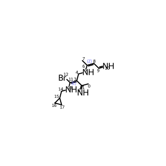 CC(=N)/C(CN/C(C)=C\C=N)=C(/Br)NCC1CC1